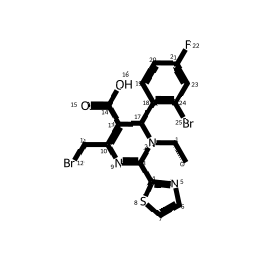 CCN1C(c2nccs2)=NC(CBr)=C(C(=O)O)C1c1ccc(F)cc1Br